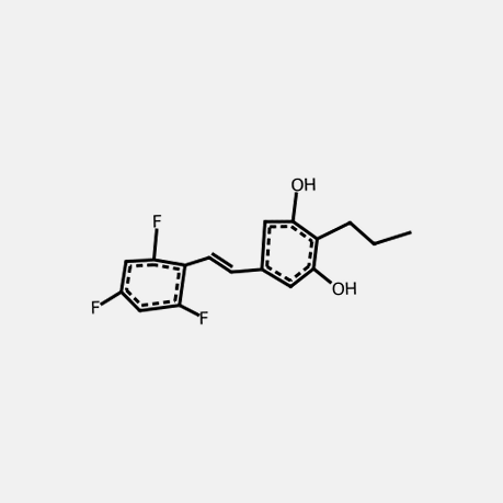 CCCc1c(O)cc(/C=C/c2c(F)cc(F)cc2F)cc1O